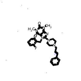 Cn1c(=O)c2c(nc(N3CCN(C/C=C/c4ccccc4)CC3)n2Cc2c(F)cccc2Cl)n(C)c1=O